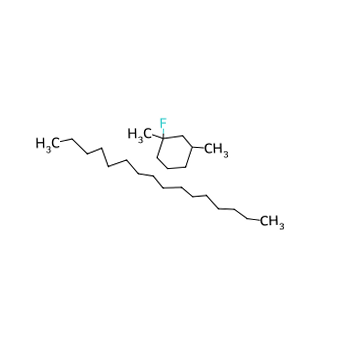 CC1CCCC(C)(F)C1.CCCCCCCCCCCCCCCC